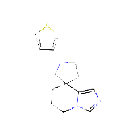 c1cc(N2CCC3(CCCn4cncc43)C2)cs1